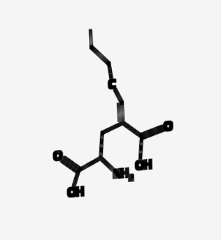 CCCC/C=C(\CC(N)C(=O)O)C(=O)O